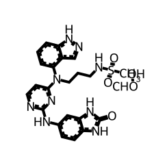 CS(=O)(=O)NCCCN(c1ccnc(Nc2ccc3[nH]c(=O)[nH]c3c2)n1)c1cccc2[nH]ncc12.O=CO